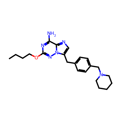 CCCCOc1nc(N)c2ncc(Cc3ccc(CN4CCCCC4)cc3)n2n1